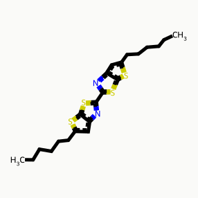 CCCCCCc1cc2nc(-c3nc4cc(CCCCCC)sc4s3)sc2s1